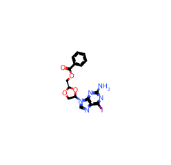 Nc1nc(I)c2ncn(C3CO[C@@H](COC(=O)c4ccccc4)O3)c2n1